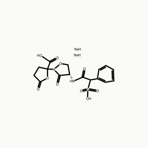 O=C1CCC(C(=O)O)(N2OC[C@H](NC(=O)C(c3ccccc3)S(=O)(=O)O)C2=O)O1.[NaH].[NaH]